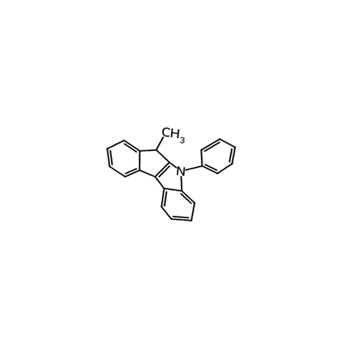 CC1c2ccccc2-c2c1n(-c1ccccc1)c1ccccc21